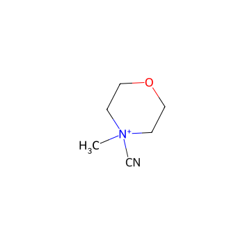 C[N+]1(C#N)CCOCC1